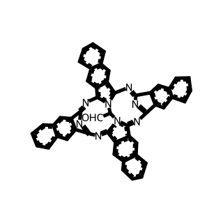 O=CC1n2c3c4cc5ccccc5cc4c2/N=C2N=C(/N=c4/c5cc6ccccc6cc5/c(n41)=N/C1=NC(=N\3)/c3cc4ccccc4cc31)c1cc3ccccc3cc1\2